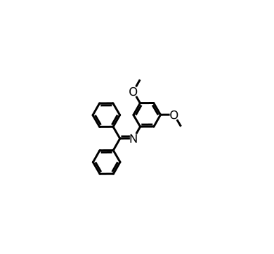 COc1cc(N=C(c2ccccc2)c2ccccc2)cc(OC)c1